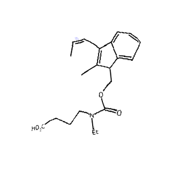 C/C=C\C1=C(C)C(COC(=O)N(CC)CCCC(=O)O)c2ccccc21